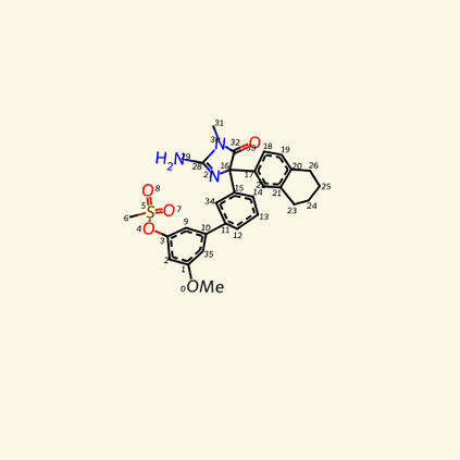 COc1cc(OS(C)(=O)=O)cc(-c2cccc(C3(c4ccc5c(c4)CCCC5)N=C(N)N(C)C3=O)c2)c1